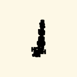 Cc1ccc(N[C@@H]2CCN(S(=O)(=O)c3ccc(-c4ccc(N5CC6(CN(C)C6)C5)nc4)cc3)C[C@@H]2O)nc1